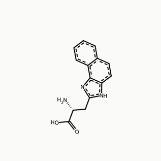 N[C@H](Cc1nc2c(ccc3ccccc32)[nH]1)C(=O)O